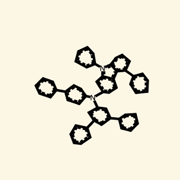 c1ccc(-c2ccc(N(c3cc(-c4ccccc4)cc(-c4ccccc4)c3)c3ccc4c5c(-c6ccccc6)cccc5n(-c5ccccc5)c4c3)cc2)cc1